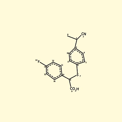 CC(C#N)c1ccc(SC(C(=O)O)c2ccc(F)cc2)cc1